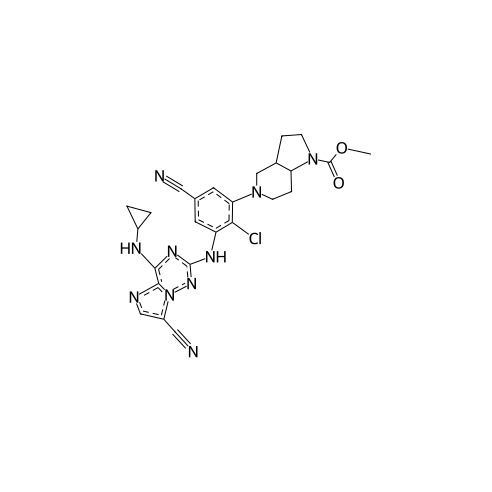 COC(=O)N1CCC2CN(c3cc(C#N)cc(Nc4nc(NC5CC5)c5ncc(C#N)n5n4)c3Cl)CCC21